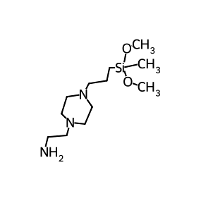 CO[Si](C)(CCCN1CCN(CCN)CC1)OC